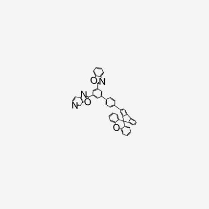 c1ccc2c(c1)Oc1ccccc1C21c2ccccc2-c2ccc(-c3ccc(-c4cc(-c5nc6ccccc6o5)cc(-c5nc6ccncc6o5)c4)cc3)cc21